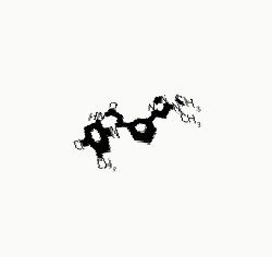 Cc1cc2c(cc1Cl)NC(=O)CC(c1cccc(-c3cc(N(C)C)ncn3)c1)=N2